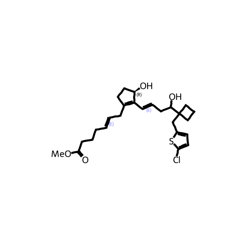 COC(=O)CCC/C=C/CC1=C(/C=C/CC(O)C2(Cc3ccc(Cl)s3)CCC2)[C@H](O)CC1